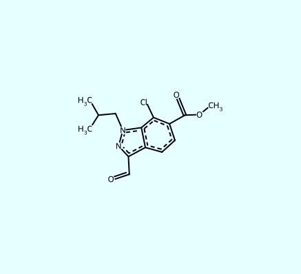 COC(=O)c1ccc2c(C=O)nn(CC(C)C)c2c1Cl